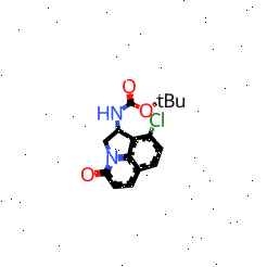 CC(C)(C)OC(=O)NC1Cn2c(=O)ccc3ccc(Cl)c1c32